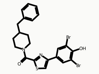 O=C(c1nc(-c2cc(Br)c(O)c(Br)c2)cs1)N1CCC(Cc2ccccc2)CC1